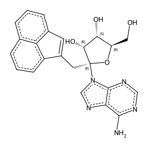 Nc1ncnc2c1ncn2[C@]1(CC2=Cc3cccc4cccc2c34)O[C@H](CO)[C@@H](O)[C@H]1O